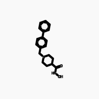 O=C(NO)C1CCN(Cc2ccc(-c3ccccc3)cc2)CC1